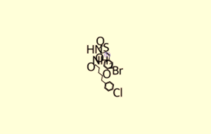 NC(=O)CCC(Cc1ccc(Cl)cc1)Oc1ccc(/C=C2/SC(=O)NC2=O)cc1Br